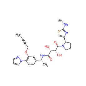 CC#CCOc1cc([C@@H](C)NC(=O)[C@H](O)[C@@H](O)C(=O)N2CCC[C@@H]2c2csc(NC(C)C)n2)ccc1-n1cccn1